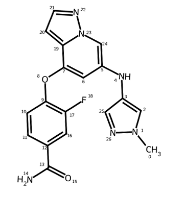 Cn1cc(Nc2cc(Oc3ccc(C(N)=O)cc3F)c3ccnn3c2)cn1